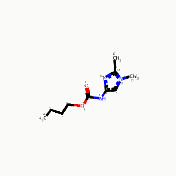 CCCCOC(=O)Nc1cn(C)c(C)n1